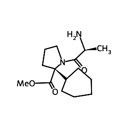 COC(=O)[C@]1(C2CCCCC2)CCCN1C(=O)[C@H](C)N